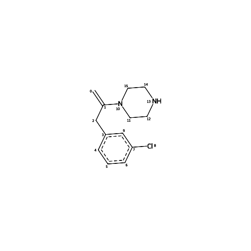 C=C(Cc1cccc(Cl)c1)N1CCNCC1